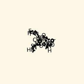 C=C[C@@H]1C[C@]1(NC(=O)[C@@H]1C[C@@H](Oc2cc(-c3csc(NC(C)C)n3)nc3c(Cl)c(OCCN4CCN(CC(F)(F)F)CC4)ccc23)CN1C(=O)[C@@H](NC(=O)O[C@H]1CC[C@@H](C)C1)C(C)(C)C)C(=O)O